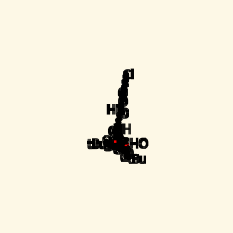 CC(C)(C)C(=O)Oc1ccc2c(c1)Oc1cc(OC(=O)C(C)(C)C)ccc1C2(OC=O)c1ccc(C(=O)NCCCCCC(=O)NCCOCCOCCCCCCCl)cc1